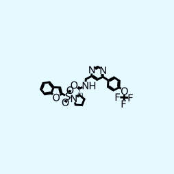 O=C(NCc1cc(-c2ccc(OC(F)(F)F)cc2)ncn1)[C@@H]1CCCN1S(=O)(=O)c1cc2ccccc2o1